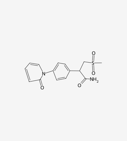 CS(=O)(=O)CC(C(N)=O)c1ccc(-n2ccccc2=O)cc1